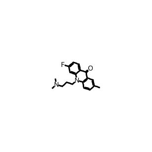 Cc1ccc2c(c1)c(=O)c1ccc(F)cc1n2CCCN(C)C